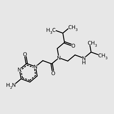 CC(C)NCCN(CC(=O)C(C)C)C(=O)Cn1ccc(N)nc1=O